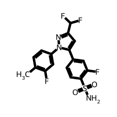 Cc1ccc(-n2nc(C(F)F)cc2-c2ccc(S(N)(=O)=O)c(F)c2)cc1F